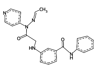 C/C=N/N(C(=O)CNc1cccc(C(=O)Nc2ccccc2)c1)c1ccncc1